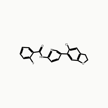 O=C(Nc1ccc(-c2cc3c(cc2Cl)CCO3)cn1)c1ccccc1F